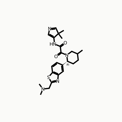 CC1CC[C@H](c2ccc3sc(CN(C)C)nc3c2)N(C(=O)C(=O)NC2=CN=CC2(C)C)C1